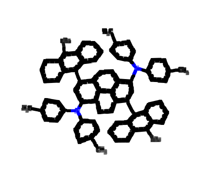 CCCCc1c2ccccc2c(-c2cc(N(c3ccc(C)cc3)c3ccc(C)cc3)c3ccc4c(-c5c6ccccc6c(CCCC)c6ccccc56)cc(N(c5ccc(C)cc5)c5ccc(C)cc5)c5ccc2c3c45)c2ccccc12